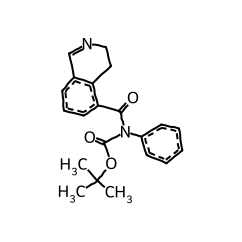 CC(C)(C)OC(=O)N(C(=O)c1cccc2c1CCN=C2)c1ccccc1